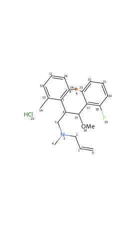 C=CCN(C)CC(c1c(C)cccc1C)C(OC)c1c(F)cccc1F.Cl